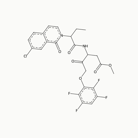 CCC(C(=O)NC(CC(=O)OC)C(=O)COc1c(F)c(F)cc(F)c1F)n1ccc2ccc(Cl)cc2c1=O